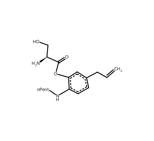 C=CCc1ccc(NCCCCC)c(OC(=O)[C@@H](N)CO)c1